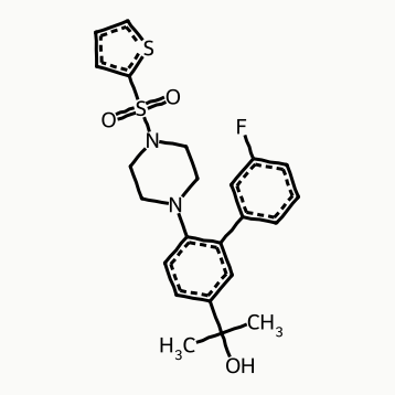 CC(C)(O)c1ccc(N2CCN(S(=O)(=O)c3cccs3)CC2)c(-c2cccc(F)c2)c1